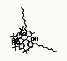 CCCCCCCCCc1cc(C)cc(C(c2cc(C)cc(CCCCCCCCC)c2O)C(c2cc(C(C)(C)C)cc(C(C)(C)C)c2O)c2cc(C(C)(C)C)cc(C(C)(C)C)c2O)c1O